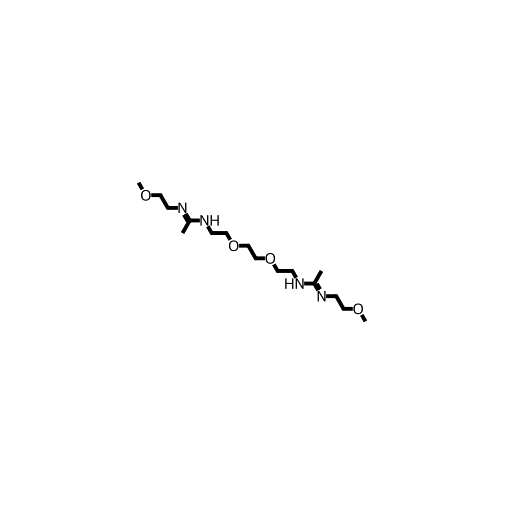 COCC/N=C(\C)NCCOCCOCCN/C(C)=N/CCOC